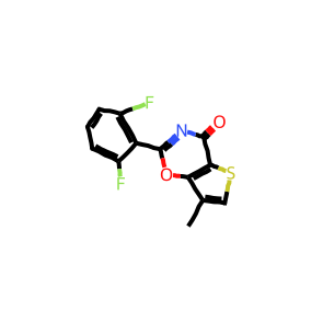 Cc1csc2c(=O)nc(-c3c(F)cccc3F)oc12